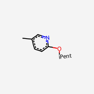 CCCC(C)Oc1ccc(C)cn1